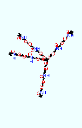 CC(C)(C)C(=O)NCCOCCOCCC(=O)NCCCOCCOCC(COCCOCCCNC(=O)CCOCCOCCNC(=O)C(C)(C)C)(COCCOCCCNC(=O)CCOCCOCCNC(=O)C(C)(C)C)COCCOCCCNC(=O)CCOCCOCCNC(=O)C(C)(C)C